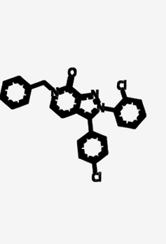 O=c1c2nn(-c3ccccc3Cl)c(-c3ccc(Cl)cc3)c2ccn1Cc1ccccc1